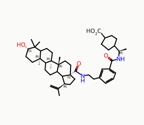 C=C(C)[C@@H]1CC[C@]2(C(=O)NCCc3cccc(C(=O)N[C@H](C)C4CCC(C(=O)O)CC4)c3)CC[C@]3(C)C(CCC4[C@@]5(C)CC[C@H](O)C(C)(C)C5CC[C@]43C)C12